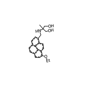 CCOc1ccc2ccc3ccc(CNC(C)(CO)CO)c4ccc1c2c34